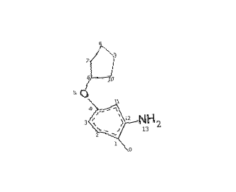 Cc1ccc(OC2CCCC2)cc1N